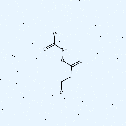 [O]C(=O)NOC(=O)CCCl